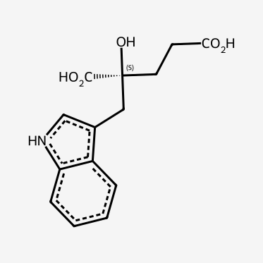 O=C(O)CC[C@](O)(Cc1c[nH]c2ccccc12)C(=O)O